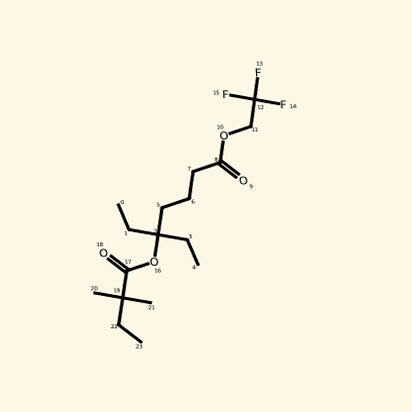 CCC(CC)(CCCC(=O)OCC(F)(F)F)OC(=O)C(C)(C)CC